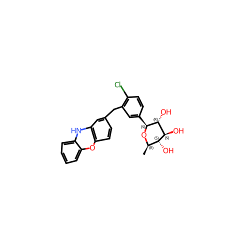 C[C@H]1O[C@@H](c2ccc(Cl)c(Cc3ccc4c(c3)Nc3ccccc3O4)c2)[C@H](O)[C@@H](O)[C@@H]1O